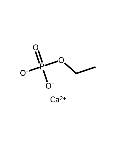 CCOP(=O)([O-])[O-].[Ca+2]